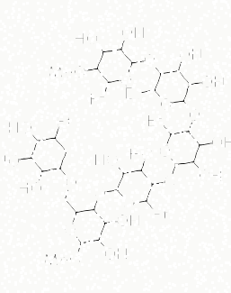 CCC1CC(OCC2OC(OC)C(O)C(O)C2OC2OC(CC)C(OC3OC(CC)C(OC4OC(CC)C(OC5OC(CC)C(OC)C(O)C5O)C(O)C4O)C(O)C3O)C(O)C2O)C(O)C(O)C1O